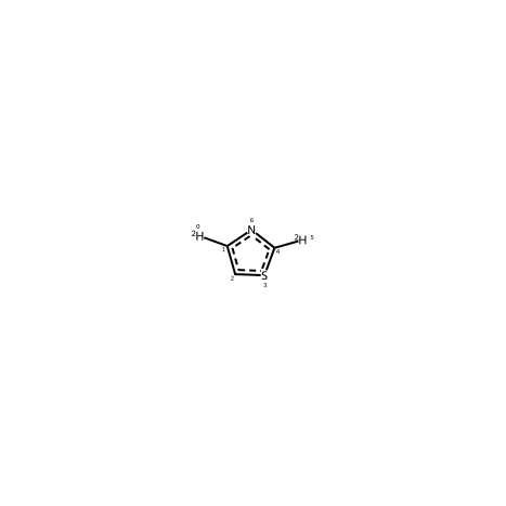 [2H]c1csc([2H])n1